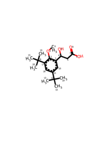 COc1c(C(O)CC(=O)O)cc(C(C)(C)C)cc1C(C)(C)C